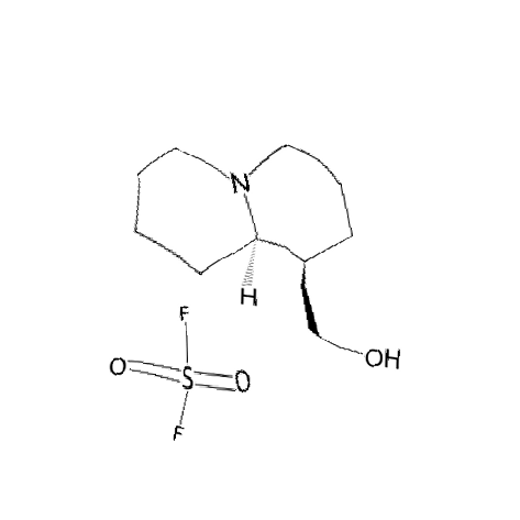 O=S(=O)(F)F.OC[C@@H]1CCCN2CCCC[C@H]12